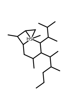 CCCC(C)C(C)C1C(C)CC2C(C)C3C[SH]23(C)C1C(C)C(C)C